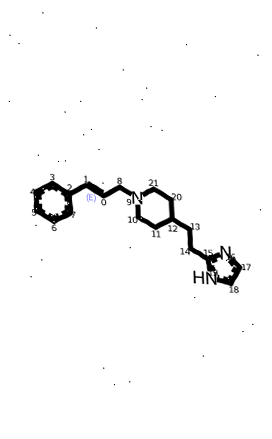 C(=C\c1ccccc1)/CN1CCC(CCc2ncc[nH]2)CC1